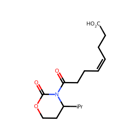 CC(C)C1CCOC(=O)N1C(=O)CC/C=C\CCC(=O)O